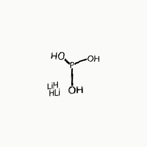 OP(O)O.[LiH].[LiH]